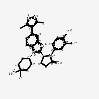 Cc1noc(C)c1-c1ccc2c(c1)nc([C@@H]1CCC(=O)N1c1ccc(F)c(F)c1)n2[C@H]1CC[C@@](C)(O)CC1